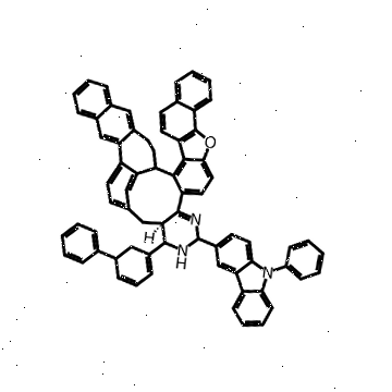 C1=CC(c2ccccc2)CC(C2NC(c3ccc4c(c3)c3ccccc3n4-c3ccccc3)N=C3c4ccc5oc6c7ccccc7ccc6c5c4C4CCc5cc6ccccc6cc5-c5ccc(cc54)C[C@@H]32)=C1